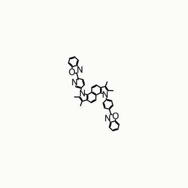 Cc1c(C)n(-c2ccc(-c3nc4ccccc4o3)cc2)c2c1ccc1c2ccc2c(C)c(C)n(-c3ccc(-c4nc5ccccc5o4)nc3)c21